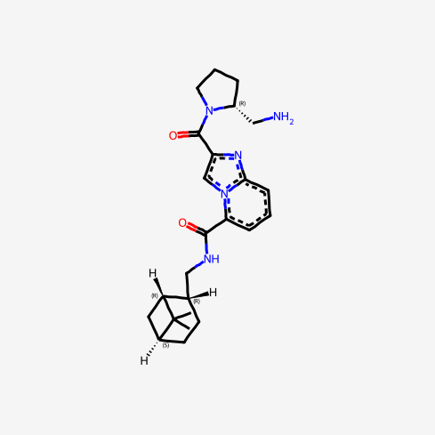 CC1(C)[C@H]2CC[C@@H](CNC(=O)c3cccc4nc(C(=O)N5CCC[C@@H]5CN)cn34)[C@H]1C2